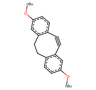 CCCCOc1[c]cc2c(c1)C#Cc1ccc(OCCCC)cc1CC2